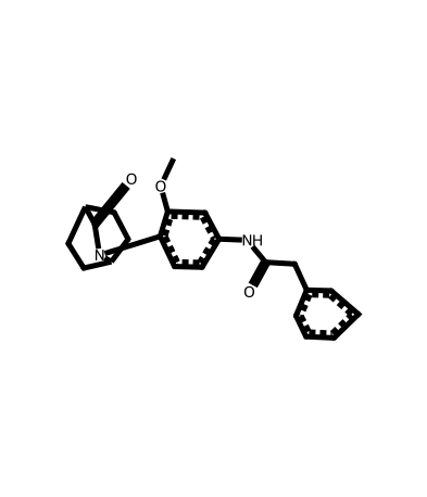 COc1cc(NC(=O)Cc2ccccc2)ccc1N1C(=O)C2CCC1CC2